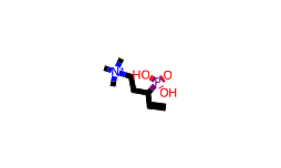 C=CC(CC[N+](C)(C)C)P(=O)(O)O